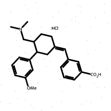 COc1cccc(C2C/C(=C\c3cccc(C(=O)O)c3)CCC2CN(C)C)c1.Cl